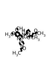 CCCC(=O)N1CCN(c2nc(NC(=O)[C@@H]3CCCN3C(=O)C(C)CSC(C)=O)c3cc(OC)c(OC)cc3n2)CC1